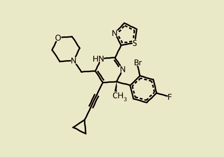 C[C@]1(c2ccc(F)cc2Br)N=C(c2nccs2)NC(CN2CCOCC2)=C1C#CC1CC1